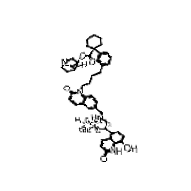 CC(C)(C)[Si](C)(C)O[C@@H](CNCc1ccc2c(ccc(=O)n2CCCCc2cccc(C3(C(=O)O[C@H]4CN5CCC4CC5)CCCCC3)c2)c1)c1ccc(O)c2[nH]c(=O)ccc12